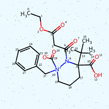 CCOC(=O)CC(=O)N1C(C(=O)O)(C(C)(C)C)CCC[N+]1(Cc1ccccc1)C(=O)[O-]